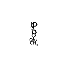 COC(=O)C1Cc2ccc(Oc3ccccn3)cc2C1